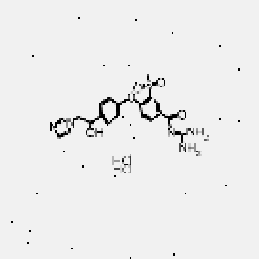 CS(=O)(=O)c1cc(C(=O)N=C(N)N)ccc1Oc1ccc(C(O)Cn2ccnc2)cc1.Cl.Cl